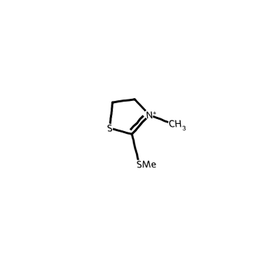 CSC1=[N+](C)CCS1